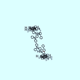 C[Si](C)(C)O[Si](C)(O[Si](C)(C)C)c1cccc(Nc2cc(N(c3ccccc3)c3ccc(-c4ccc(N(c5ccccc5)c5ccc(-c6ccccc6-c6ccccc6)c(Nc6cccc([Si](C)(O[Si](C)(C)C)O[Si](C)(C)C)c6)c5)cc4)cc3)ccc2-c2ccccc2-c2ccccc2)c1